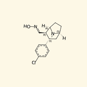 CN1[C@H]2CC[C@@H]1[C@H](C=NO)[C@@H](c1ccc(Cl)cc1)C2